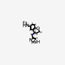 CCNc1ccc2c(c1)/C(=C/c1c[nH]cn1)CCO2